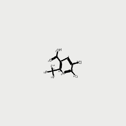 O=C(O)c1cc(Cl)c(Cl)nc1C(F)(F)F